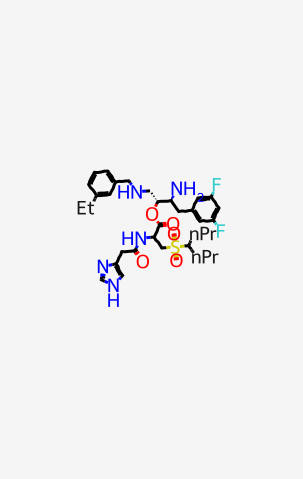 CCCC(CCC)S(=O)(=O)CC(NC(=O)Cc1c[nH]cn1)C(=O)O[C@H](CNCc1cccc(CC)c1)[C@@H](N)Cc1cc(F)cc(F)c1